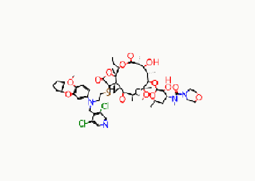 CC[C@H]1OC(=O)[C@H](C)[C@@H](O)[C@H](C)[C@@H](O[C@@H]2O[C@H](C)C[C@H](N(C)C(=O)N3CCOCC3)[C@H]2O)[C@](C)(OC)C[C@@H](C)C(=O)C(C)[C@H]2C(SCCN(Cc3c(Cl)cncc3Cl)c3ccc(OC)c(OC4CCCC4)c3)C(=O)O[C@@]21C